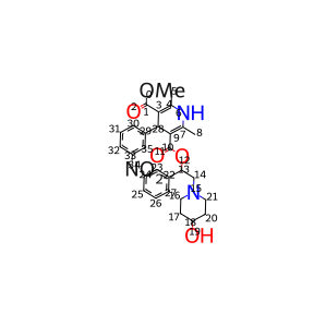 COC(=O)C1=C(C)NC(C)=C(C(=O)OC(CN2CCC(O)CC2)c2ccccc2)C1c1cccc([N+](=O)[O-])c1